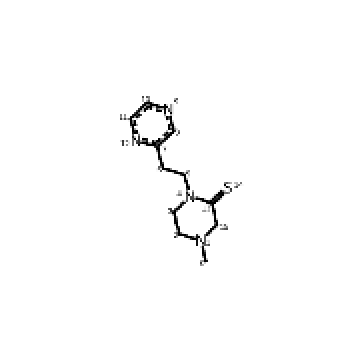 CN1CCN(CCc2cnccn2)C(=S)C1